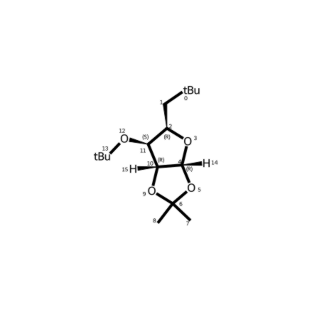 CC(C)(C)C[C@H]1O[C@@H]2OC(C)(C)O[C@@H]2[C@H]1OC(C)(C)C